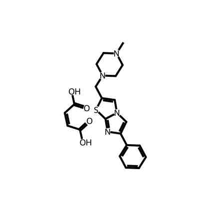 CN1CCN(Cc2cn3cc(-c4ccccc4)nc3s2)CC1.O=C(O)/C=C\C(=O)O